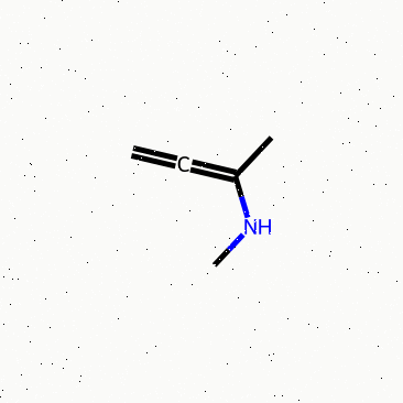 C=C=C(C)NC